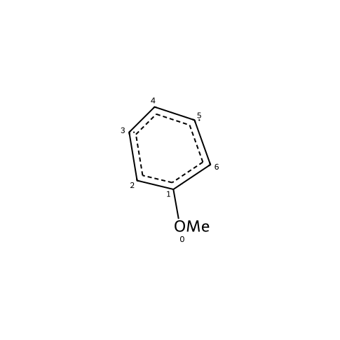 COc1c[c]c[c]c1